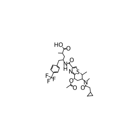 CC(=O)OC(CC(C(C)C)N(C)C(=O)CC1CC1)c1nc(C(=O)NC(Cc2ccc(C(F)(F)F)cc2)CC(C)C(=O)O)cs1